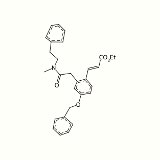 CCOC(=O)C=Cc1ccc(OCc2ccccc2)cc1CC(=O)N(C)CCc1ccccc1